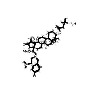 CO[C@H](CN(CCN(C)C)Cc1ccc(Cl)cc1)[C@@]12CC[C@]3(C)[C@H](CCC4[C@@]5(C)CC[C@H](OC(=O)CC(C)(C)C(=O)O)C(C)(C)[C@@H]5CC[C@]43C)C1=C(C(C)C)C(=O)C2